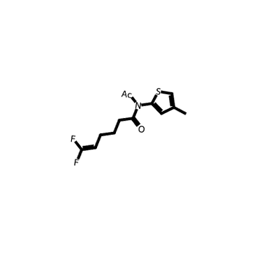 CC(=O)N(C(=O)CCCC=C(F)F)c1cc(C)cs1